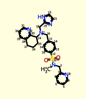 CN(Cc1ccccn1)S(=O)(=O)c1ccc(CN(Cc2ncc[nH]2)C2CCCc3cccnc32)cc1